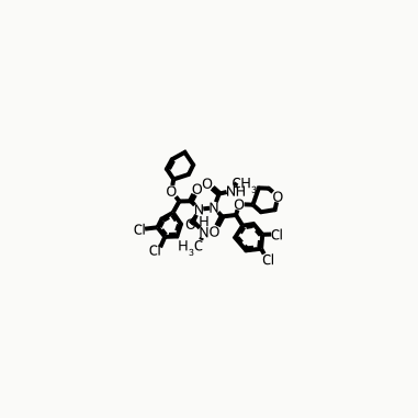 CNC(=O)N(C(=O)C(OC1C=CCCC1)c1ccc(Cl)c(Cl)c1)N(C(=O)NC)C(=O)C(OC1CCOCC1)c1ccc(Cl)c(Cl)c1